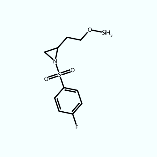 O=S(=O)(c1ccc(F)cc1)N1CC1CCO[SiH3]